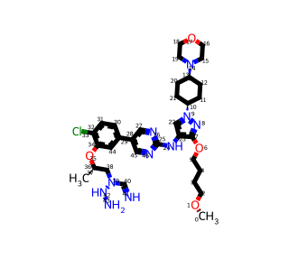 COCCCCOc1nn([C@H]2CC[C@H](N3CCOCC3)CC2)cc1Nc1ncc(-c2ccc(Cl)c(O[C@@H](C)CN(C=N)NN)c2)cn1